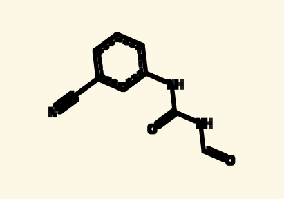 N#Cc1cccc(NC(=O)NC=O)c1